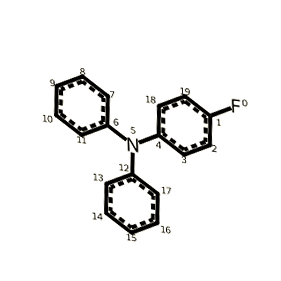 Fc1ccc(N(c2cc[c]cc2)c2ccccc2)cc1